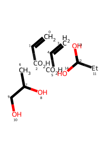 C=CC(=O)O.C=CC(=O)O.CC(O)CO.CCC(O)O